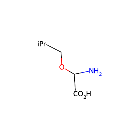 CC(C)COC(N)C(=O)O